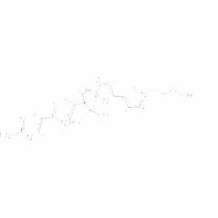 COCCn1cc(-c2nc(C(C)(c3ccc(-c4cnc(N)nc4)nc3)C(C)C)no2)cn1